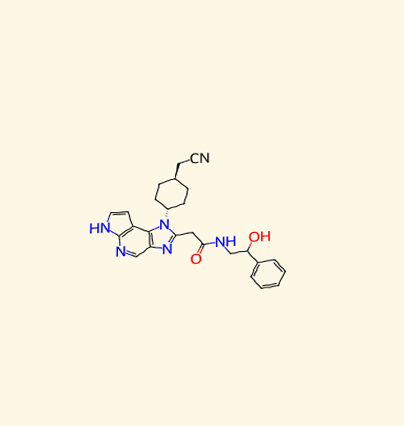 N#CC[C@H]1CC[C@H](n2c(CC(=O)NCC(O)c3ccccc3)nc3cnc4[nH]ccc4c32)CC1